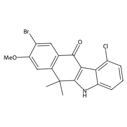 COc1cc2c(cc1Br)C(=O)c1c([nH]c3cccc(Cl)c13)C2(C)C